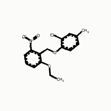 CCOc1cccc([N+](=O)[O-])c1COc1ccc(C)cc1Cl